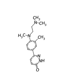 Cc1cc(-c2ccc(=O)[nH]n2)ccc1N(C)CCN(C)C